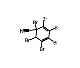 N#CC1(Br)C(Br)=C(Br)C(Br)=C(Br)C1Br